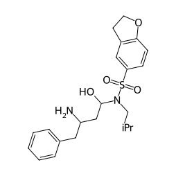 CC(C)CN(C(O)CC(N)Cc1ccccc1)S(=O)(=O)c1ccc2c(c1)CCO2